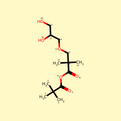 CC(C)(C)C(=O)OC(=O)C(C)(C)COCC(O)CO